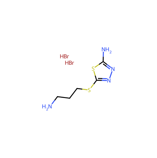 Br.Br.NCCCSc1nnc(N)s1